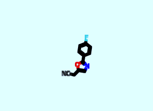 N#CCc1cnc(-c2ccc(F)cc2)o1